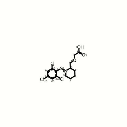 O=C(O)COCC1CCCCN1Sc1c(Cl)cc(Cl)cc1Cl